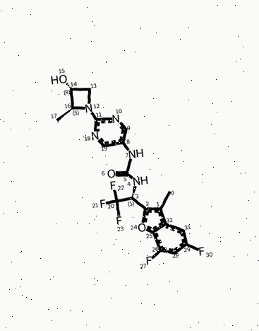 Cc1c([C@H](NC(=O)Nc2cnc(N3C[C@@H](O)[C@@H]3C)nc2)C(F)(F)F)oc2c(F)cc(F)cc12